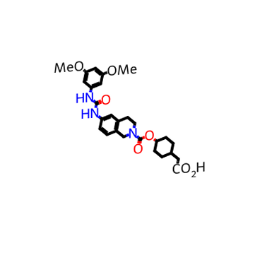 COc1cc(NC(=O)Nc2ccc3c(c2)CCN(C(=O)OC2CCC(CC(=O)O)CC2)C3)cc(OC)c1